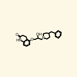 O=C1CCc2c(cccc2OCC(O)CN2CCC(Cc3ccccc3)CC2)N1